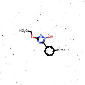 COc1cccc(-c2nc(OCC(=O)O)nn2O)c1